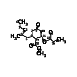 CCSC(C)CC1CC(=O)C=C(OC(=O)CC)C1C(=O)OC